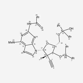 C#C[C@@]1(F)C(O[SiH](C(C)C)C(C)C)[C@@H](CO[Si](O)(C(C)C)C(C)C)O[C@H]1n1cnc2c(NC)nc(NC(=O)C(C)C)nc21